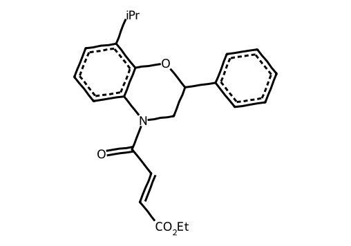 CCOC(=O)C=CC(=O)N1CC(c2ccccc2)Oc2c(C(C)C)cccc21